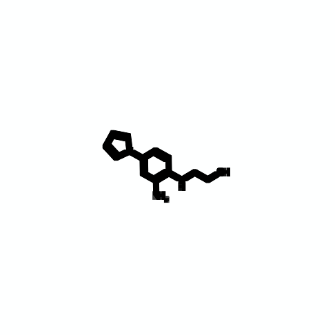 Nc1cc(-n2cccc2)ccc1NCCO